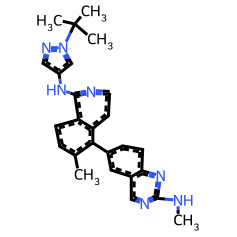 CNc1ncc2cc(-c3c(C)ccc4c(Nc5cnn(C(C)(C)C)c5)nccc34)ccc2n1